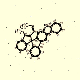 C/C=C\C1=C(C)c2ccccc2C12c1ccccc1-c1cc3c(cc12)sc1ccccc13